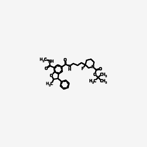 CNC(=O)c1cc(C(=O)NCCCC2(F)CCCN(C(=O)OC(C)(C)C)C2)cc2c1OC(C)C2c1ccccc1